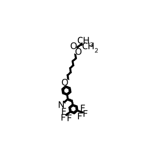 C=C(C)C(=O)OCCCCCCCCOc1ccc(/C(C#N)=C/c2cc(C(F)(F)F)cc(C(F)(F)F)c2)cc1